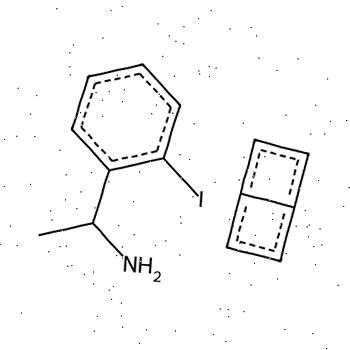 CC(N)c1ccccc1I.c1cc2ccc1-2